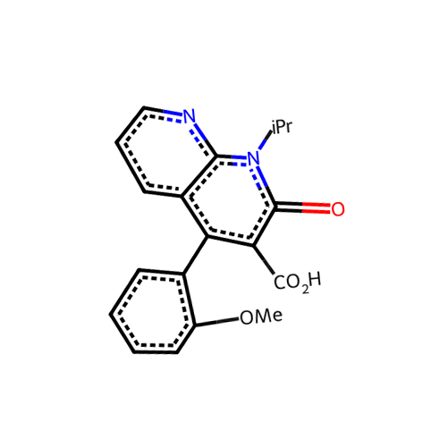 COc1ccccc1-c1c(C(=O)O)c(=O)n(C(C)C)c2ncccc12